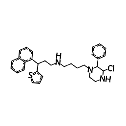 ClC1NCCN(CCCCNCCC(c2cccs2)c2cccc3ccccc23)C1c1ccccc1